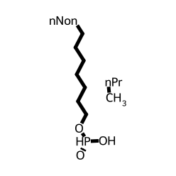 CCCC.CCCCCCCCCCCCCCCCO[PH](=O)O